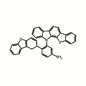 Nc1ccc(C2C=Cc3oc4ccccc4c3C2)c(-n2c3ccccc3c3ccc4c5ccccc5sc4c32)c1